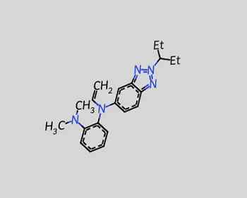 C=CN(c1ccc2nn(C(CC)CC)nc2c1)c1ccccc1N(C)C